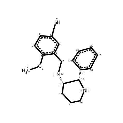 COc1ccc(S)cc1CN[C@H]1CCCN[C@H]1c1ccccc1